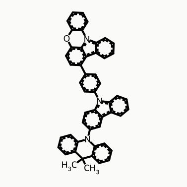 CC1(C)c2ccccc2N(c2ccc3c(c2)c2ccccc2n3-c2ccc(-c3ccc4c5c3c3ccccc3n5-c3ccccc3O4)cc2)c2ccccc21